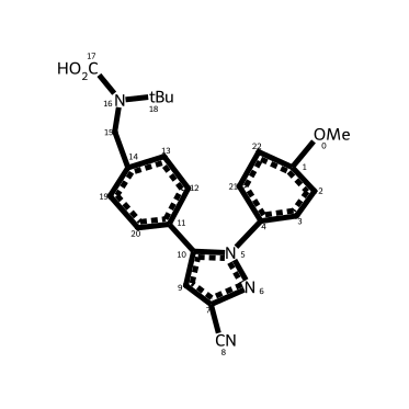 COc1ccc(-n2nc(C#N)cc2-c2ccc(CN(C(=O)O)C(C)(C)C)cc2)cc1